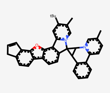 Cc1ccc2[n+](c1)C1C(c3ccccc3-2)C12c1ccc3c(oc4c5c(ccc43)CC=C5)c1-c1cc(C(C)(C)C)c(C)c[n+]12